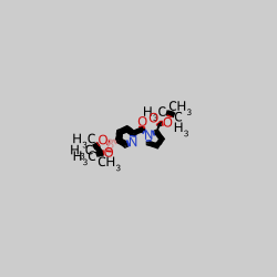 CC(C)(C)OC(=O)[C@H]1CCCN1C(=O)c1ccc(B2OC(C)(C)C(C)(C)O2)cn1